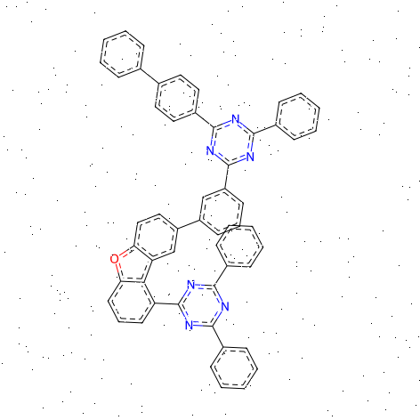 c1ccc(-c2ccc(-c3nc(-c4ccccc4)nc(-c4cccc(-c5ccc6oc7cccc(-c8nc(-c9ccccc9)nc(-c9ccccc9)n8)c7c6c5)c4)n3)cc2)cc1